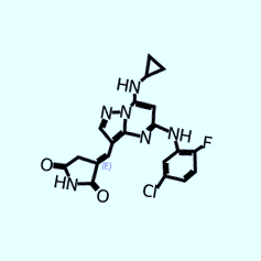 O=C1C/C(=C\c2cnn3c(NC4CC4)cc(Nc4cc(Cl)ccc4F)nc23)C(=O)N1